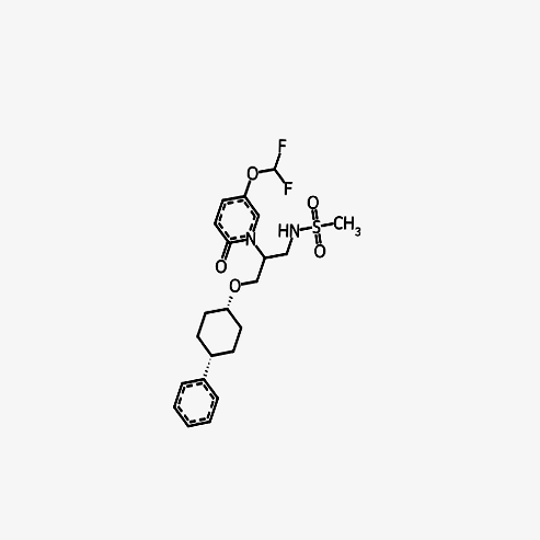 CS(=O)(=O)NCC(CO[C@H]1CC[C@@H](c2ccccc2)CC1)n1cc(OC(F)F)ccc1=O